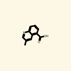 Cc1cnc2cccc(C(=O)O)c2c1